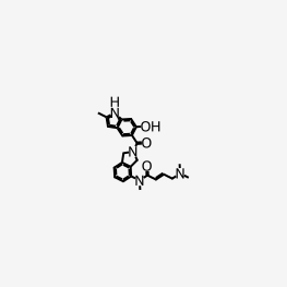 Cc1cc2cc(C(=O)N3Cc4cccc(N(C)C(=O)/C=C/CN(C)C)c4C3)c(O)cc2[nH]1